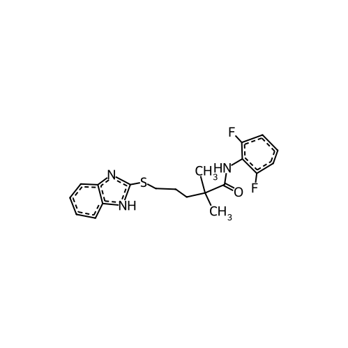 CC(C)(CCCSc1nc2ccccc2[nH]1)C(=O)Nc1c(F)cccc1F